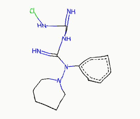 N=C(NCl)NC(=N)N(c1ccccc1)N1CCCCC1